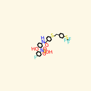 O=C(Nc1ccc(O)c(N(c2ccc(F)cc2)S(=O)(=O)O)c1)c1ccc(SCCc2ccc(SC(F)(F)F)cc2)cc1